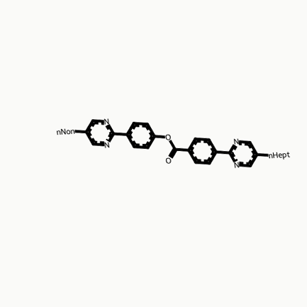 CCCCCCCCCc1cnc(-c2ccc(OC(=O)c3ccc(-c4ncc(CCCCCCC)cn4)cc3)cc2)nc1